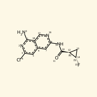 Nc1nc(Cl)cc2cc(NC(=O)[C@H]3C[C@@H]3F)ncc12